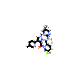 Cc1ccc(-c2cn(C)nc2C(=O)N2CC(F)(F)C[C@@H](C)C2CNc2ncc(C(F)(F)F)cn2)nc1